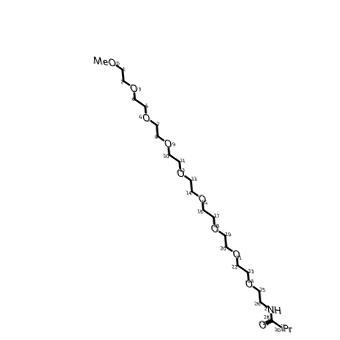 COCCOCCOCCOCCOCCOCCOCCOCCOCCNC(=O)C(C)C